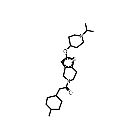 CC1CCC(CC(=O)N2CCc3sc(OC4CCN(C(C)C)CC4)cc3C2)CC1